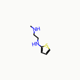 CNCCNc1cccs1